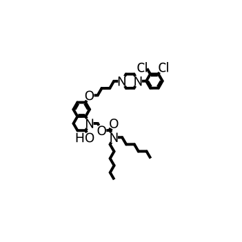 CCCCCCN(CCCCCC)C(=O)OCN1c2cc(OCCCCN3CCN(c4cccc(Cl)c4Cl)CC3)ccc2CCC1O